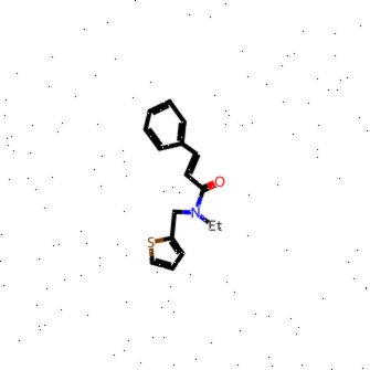 CCN(Cc1cccs1)C(=O)/C=C/c1ccccc1